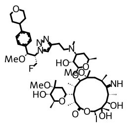 CO[C@H](c1ccc(C2CCOCC2)cc1)[C@@H](CF)n1cc(CCN(C)[C@H]2C[C@@H](C)O[C@@H](O[C@@H]3[C@@H](C)C([C@H]4C[C@@](C)(OC)[C@@H](O)[C@H](C)O4)[C@@H](C)C(=O)O[C@H](I)[C@@](C)(O)[C@H](O)[C@@H](C)C(=N)[C@H](C)C[C@@]3(C)OC)[C@@H]2O)nn1